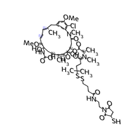 COc1cc2cc(c1Cl)N(C)C(=O)C[C@H](OC(=O)[C@H](C)N(C)C(=O)CCC(C)(C)SSCCCC(=O)NCCN1C(=O)CC(S)C1=O)[C@]1(C)O[C@H]1[C@H](C)[C@@H]1CC(O)(NC(=O)O1)[C@H](OC)/C=C/C=C(\C)C2